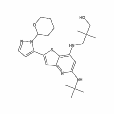 CC(C)(CO)CNc1cc(NC(C)(C)C)nc2cc(-c3ccnn3C3CCCCO3)sc12